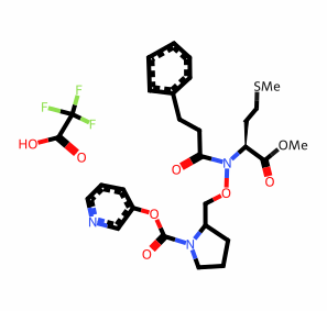 COC(=O)[C@H](CCSC)N(OCC1CCCN1C(=O)Oc1cccnc1)C(=O)CCc1ccccc1.O=C(O)C(F)(F)F